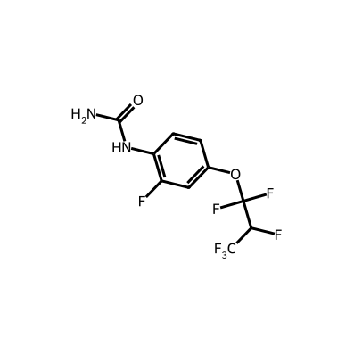 NC(=O)Nc1ccc(OC(F)(F)C(F)C(F)(F)F)cc1F